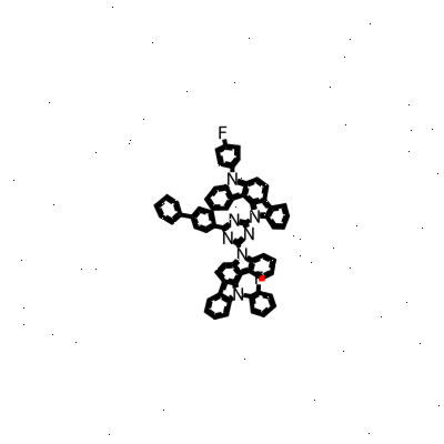 Fc1ccc(-n2c3ccccc3c3c2ccc2c4ccccc4n(-c4nc(-c5ccc(-c6ccccc6)cc5)nc(-n5c6ccccc6c6c5ccc5c7ccccc7n(-c7ccccc7F)c56)n4)c23)cc1